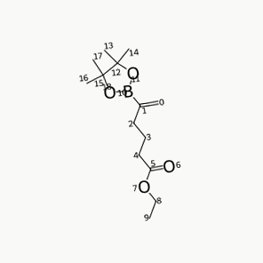 C=C(CCCC(=O)OCC)B1OC(C)(C)C(C)(C)O1